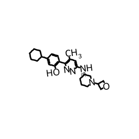 Cc1cc(N[C@H]2CCCN(C3COC3)C2)nnc1-c1ccc(C2CCCCC2)cc1O